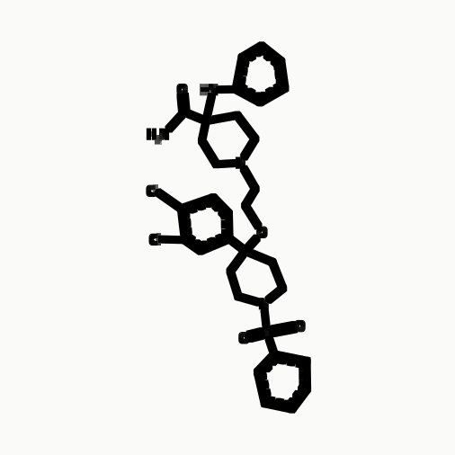 NC(=O)C1(Nc2ccccc2)CCN(CCOC2(c3ccc(Cl)c(Cl)c3)CCN(S(=O)(=O)c3ccccc3)CC2)CC1